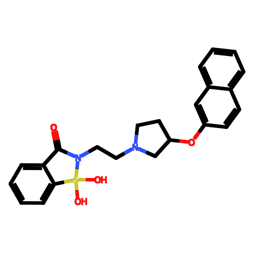 O=C1c2ccccc2S(O)(O)N1CCN1CCC(Oc2ccc3ccccc3c2)C1